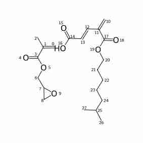 C=C(C)C(=O)OCC1CO1.C=C(C=CC(=O)O)C(=O)OCCCCCC(C)C